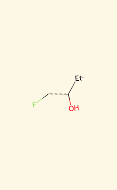 C[CH]C(O)CF